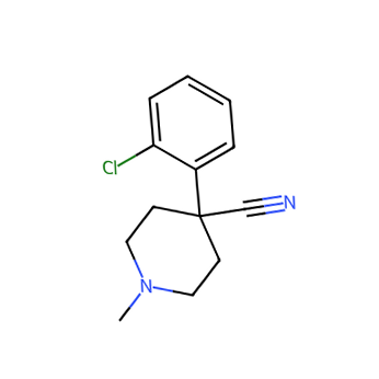 CN1CCC(C#N)(c2ccccc2Cl)CC1